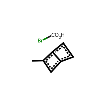 Cc1cc2ccc1-2.O=C(O)Br